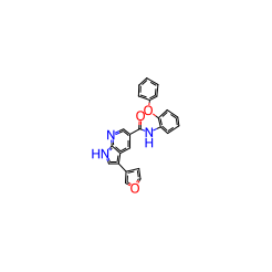 O=C(Nc1ccccc1Oc1ccccc1)c1cnc2[nH]cc(-c3ccoc3)c2c1